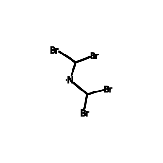 BrC(Br)[N]C(Br)Br